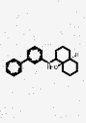 O[C@]12CCCC[C@@H]1CCCC2Nc1cccc(-c2ccccc2)c1